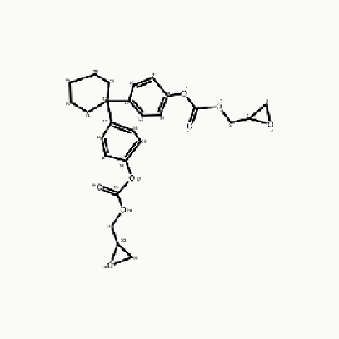 O=C(OCC1CO1)Oc1ccc(C2(c3ccc(OC(=O)OCC4CO4)cc3)CCCCC2)cc1